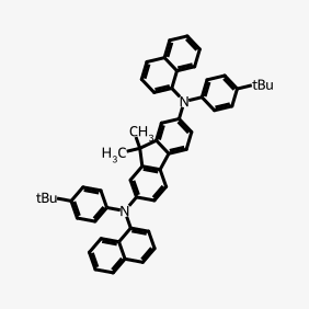 CC(C)(C)c1ccc(N(c2ccc3c(c2)C(C)(C)c2cc(N(c4ccc(C(C)(C)C)cc4)c4cccc5ccccc45)ccc2-3)c2cccc3ccccc23)cc1